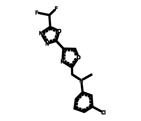 CN(Cc1nc(-c2nnc(C(F)F)o2)co1)c1cccc(Cl)c1